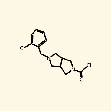 O=C(Cl)N1CC2CN(Cc3ccccc3Cl)CC2C1